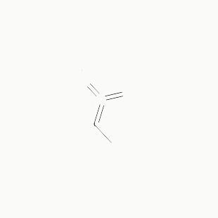 C[C]=S(=O)=O